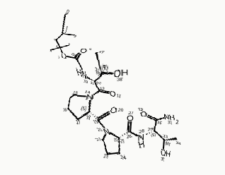 CC(C)CC(C)(C)OC(=O)N[C@H](C(=O)N1CCC[C@H]1C(=O)N1CCC[C@H]1C(=O)N[C@H](C(N)=O)[C@@H](C)O)[C@@H](C)O